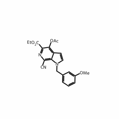 CCOC(=O)c1nc(C#N)c2c(ccn2Cc2cccc(OC)c2)c1OC(C)=O